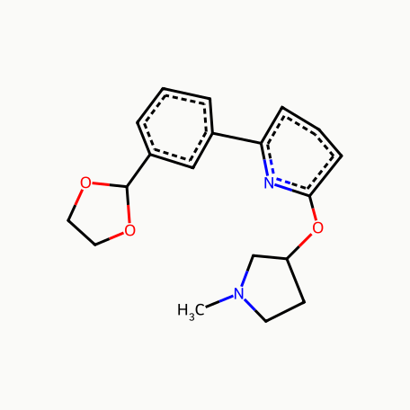 CN1CCC(Oc2cccc(-c3cccc(C4OCCO4)c3)n2)C1